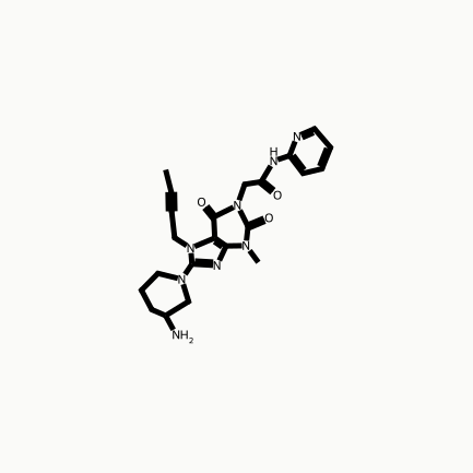 CC#CCn1c(N2CCCC(N)C2)nc2c1c(=O)n(CC(=O)Nc1ccccn1)c(=O)n2C